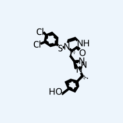 C[C@H](c1ccc(CO)cc1)n1cc(C[C@@H]2C(=O)NC=CN2Sc2ccc(Cl)c(Cl)c2)nn1